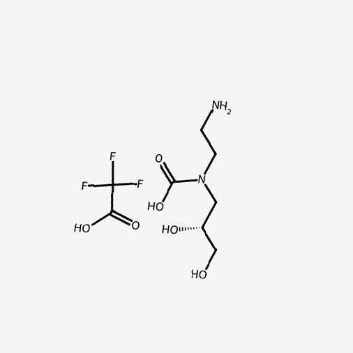 NCCN(C[C@@H](O)CO)C(=O)O.O=C(O)C(F)(F)F